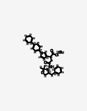 CC(C)(C)OC(=O)C(CC(=O)NN1C(Cc2ccccc2)COC1(C)C)c1ccn(-c2ccc(-c3ccccc3)cc2)c1